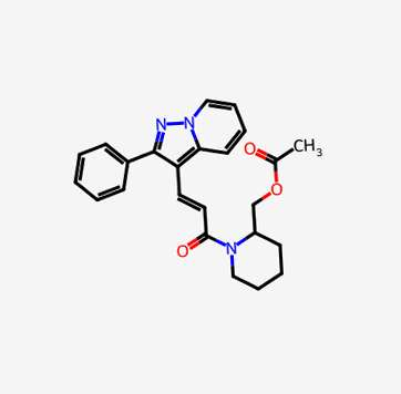 CC(=O)OCC1CCCCN1C(=O)C=Cc1c(-c2ccccc2)nn2ccccc12